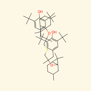 CC1CCC2C(C)(C)C2(OC(C)(CSCC(C)(Cc2cc(C(C)(C)C)c(O)c(C(C)(C)C)c2)OC23CC(C)CCC2C3(C)C)Cc2cc(C(C)(C)C)c(O)c(C(C)(C)C)c2)C1